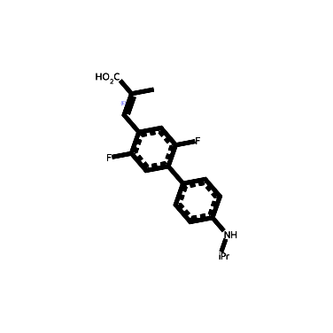 C/C(=C\c1cc(F)c(-c2ccc(NC(C)C)cc2)cc1F)C(=O)O